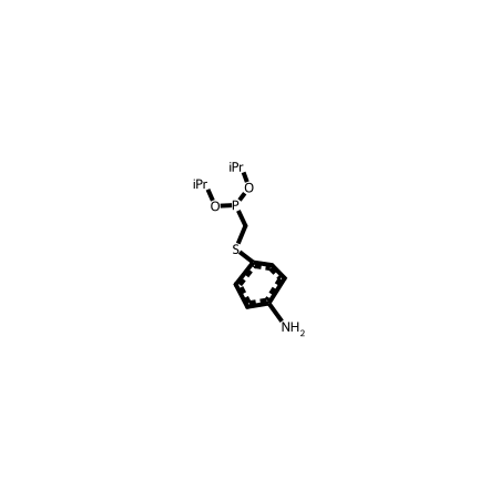 CC(C)OP(CSc1ccc(N)cc1)OC(C)C